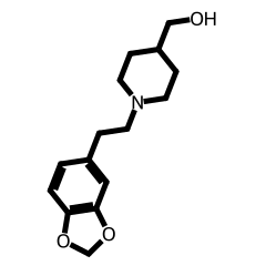 OCC1CCN(CCc2ccc3c(c2)OCO3)CC1